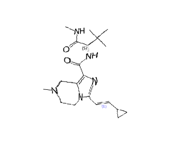 CNC(=O)[C@@H](NC(=O)c1nc(/C=C/C2CC2)n2c1CN(C)CC2)C(C)(C)C